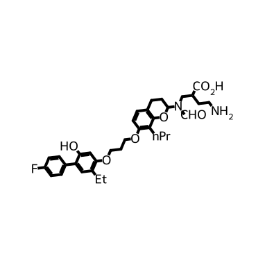 CCCc1c(OCCCOc2cc(O)c(-c3ccc(F)cc3)cc2CC)ccc2c1OC(N(C=O)CC(CCN)C(=O)O)CC2